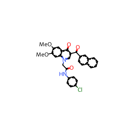 COc1cc2c(=O)c(C(=O)c3ccc4ccccc4c3)cn(CC(=O)Nc3ccc(Cl)cc3)c2cc1OC